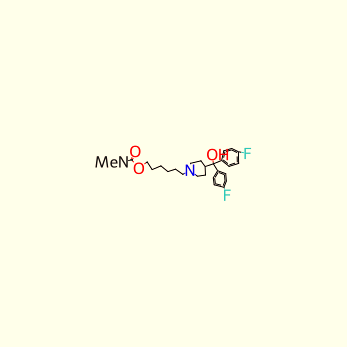 CNC(=O)OCCCCCCN1CCC(C(O)(c2ccc(F)cc2)c2ccc(F)cc2)CC1